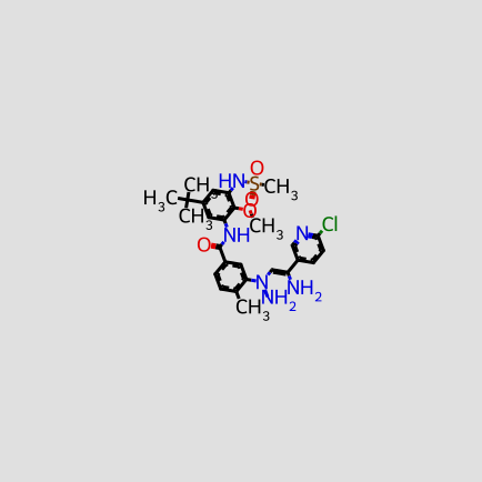 COc1c(NC(=O)c2ccc(C)c(N(N)/C=C(\N)c3ccc(Cl)nc3)c2)cc(C(C)(C)C)cc1NS(C)(=O)=O